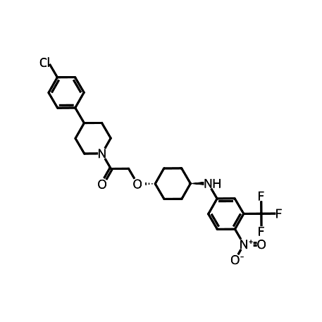 O=C(CO[C@H]1CC[C@H](Nc2ccc([N+](=O)[O-])c(C(F)(F)F)c2)CC1)N1CCC(c2ccc(Cl)cc2)CC1